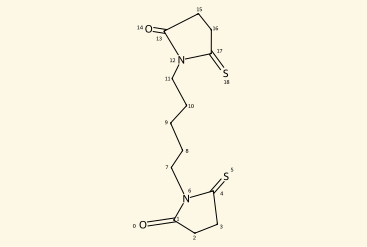 O=C1CCC(=S)N1CCCCCN1C(=O)CCC1=S